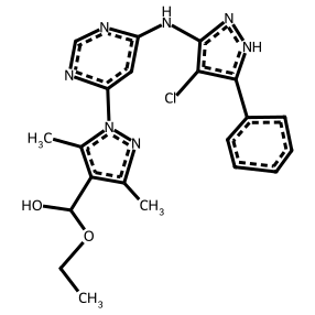 CCOC(O)c1c(C)nn(-c2cc(Nc3n[nH]c(-c4ccccc4)c3Cl)ncn2)c1C